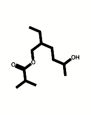 CCC(CCC(C)O)COC(=O)C(C)C